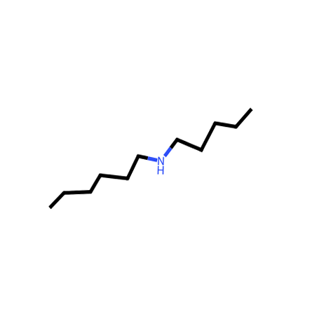 CCCCCCNCCCCC